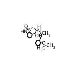 CC(CCc1ccccc1OC(C)C)NC1CCn2c(=O)[nH]c3cccc(c32)C1O